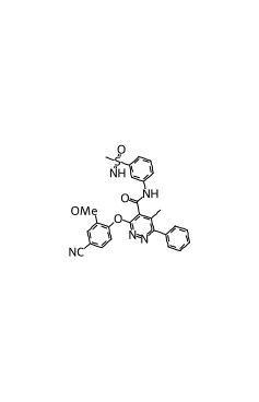 COc1cc(C#N)ccc1Oc1nnc(-c2ccccc2)c(C)c1C(=O)Nc1cccc(S(C)(=N)=O)c1